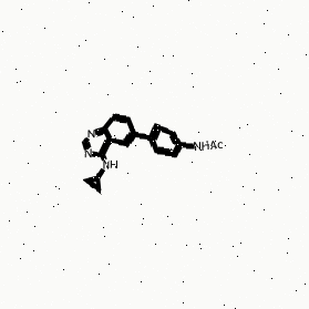 CC(=O)Nc1ccc(-c2ccc3ncnc(NC4CC4)c3c2)cc1